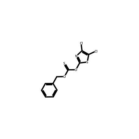 S=C(OCc1ccccc1)Oc1nc(Cl)c(Cl)s1